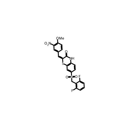 COc1ccc(C=C2Sc3cc(S(=O)(=O)Cc4c(F)cccc4F)ccc3NC2=O)cc1[N+](=O)[O-]